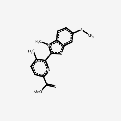 COC(=O)c1ccc(C)c(-c2nc3cc(SC(F)(F)F)ccc3n2C)n1